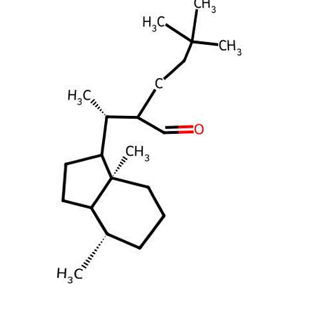 C[C@H](C(C=O)CCC(C)(C)C)C1CCC2[C@@H](C)CCC[C@]12C